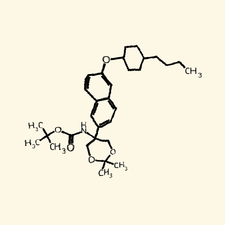 CCCCC1CCC(Oc2ccc3cc(C4(NC(=O)OC(C)(C)C)COC(C)(C)OC4)ccc3c2)CC1